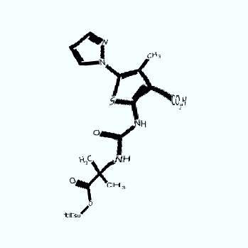 Cc1c(-n2cccn2)sc(NC(=O)NC(C)(C)C(=O)OC(C)(C)C)c1C(=O)O